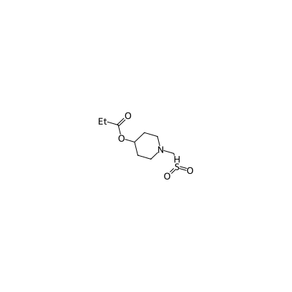 CCC(=O)OC1CCN(C[SH](=O)=O)CC1